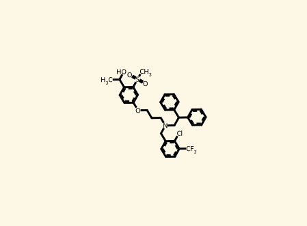 CC(O)c1ccc(OCCCN(Cc2cccc(C(F)(F)F)c2Cl)CC(c2ccccc2)c2ccccc2)cc1S(C)(=O)=O